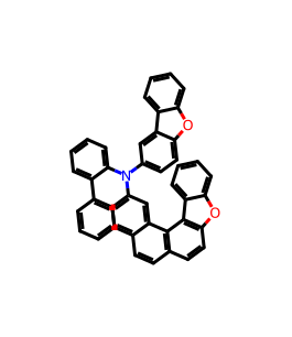 c1ccc(-c2ccccc2N(c2ccc3oc4ccccc4c3c2)c2ccc3ccc4ccc5oc6ccccc6c5c4c3c2)cc1